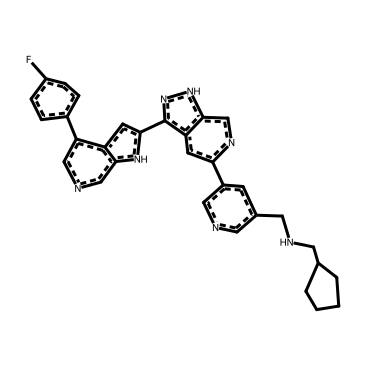 Fc1ccc(-c2cncc3[nH]c(-c4n[nH]c5cnc(-c6cncc(CNCC7CCCC7)c6)cc45)cc23)cc1